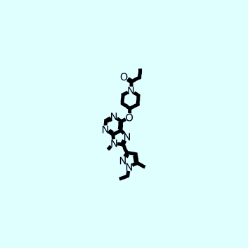 CCC(=O)N1CCC(Oc2ncnc3c2nc(-c2cc(C)n(CC)n2)n3C)CC1